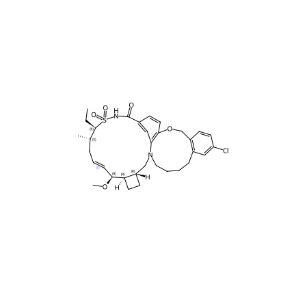 CC[C@@H]1[C@@H](C)C/C=C/[C@H](OC)[C@@H]2CC[C@H]2CN2CCCCc3cc(Cl)ccc3COc3ccc(cc32)C(=O)NS1(=O)=O